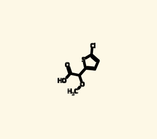 COC(C(=O)O)c1ccc(Cl)s1